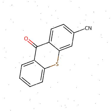 N#Cc1ccc2c(=O)c3ccccc3sc2c1